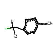 CCC(F)(CC)c1ccc(C#N)cc1